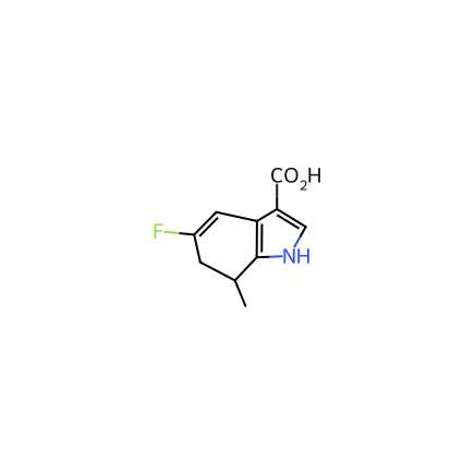 CC1CC(F)=Cc2c(C(=O)O)c[nH]c21